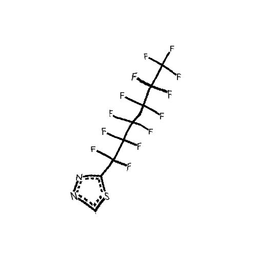 FC(F)(F)C(F)(F)C(F)(F)C(F)(F)C(F)(F)C(F)(F)c1nn[c]s1